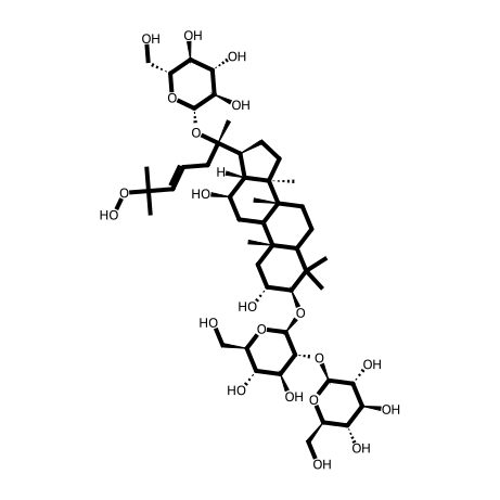 CC(C)(/C=C/C[C@](C)(O[C@@H]1O[C@H](CO)[C@@H](O)[C@H](O)[C@H]1O)[C@H]1CC[C@]2(C)[C@@H]1[C@H](O)CC1[C@@]3(C)C[C@@H](O)[C@H](O[C@@H]4O[C@H](CO)[C@@H](O)[C@H](O)[C@H]4O[C@@H]4O[C@H](CO)[C@@H](O)[C@H](O)[C@H]4O)C(C)(C)C3CC[C@]12C)OO